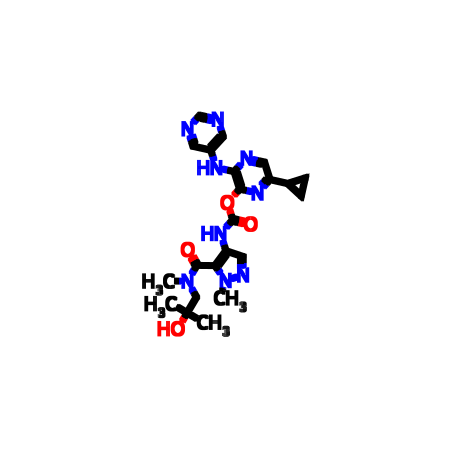 CN(CC(C)(C)O)C(=O)c1c(NC(=O)Oc2nc(C3CC3)cnc2Nc2cncnc2)cnn1C